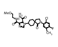 COCCNC(=O)c1ncn(C2CCC3(CC2)CCN(c2cc(C)c(F)cc2Cl)C3=O)c1C(N)=O